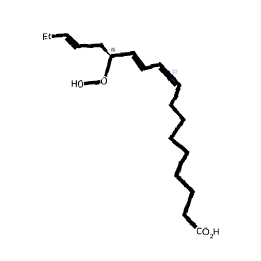 CCC=CC[C@@H](C=C/C=C\CCCCCCCC(=O)O)OO